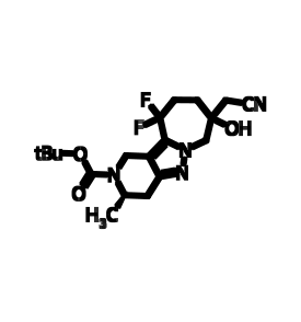 C[C@@H]1Cc2nn3c(c2CN1C(=O)OC(C)(C)C)C(F)(F)CCC(O)(CC#N)C3